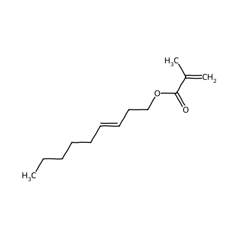 C=C(C)C(=O)OCCC=CCCCCC